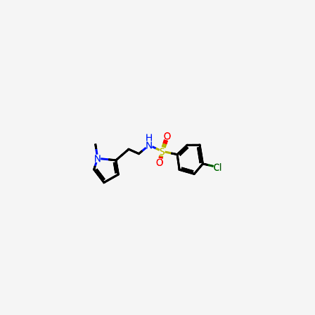 Cn1cccc1CCNS(=O)(=O)c1ccc(Cl)cc1